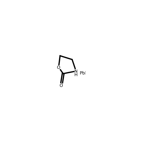 O=C1NCCO1.[Pb]